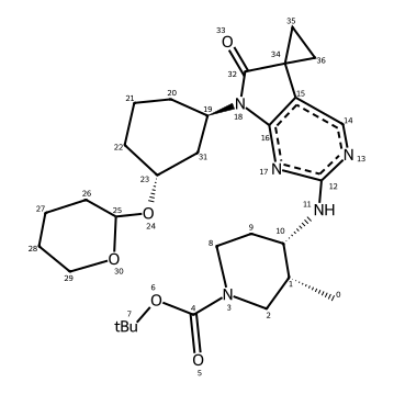 C[C@@H]1CN(C(=O)OC(C)(C)C)CC[C@@H]1Nc1ncc2c(n1)N([C@@H]1CCC[C@@H](OC3CCCCO3)C1)C(=O)C21CC1